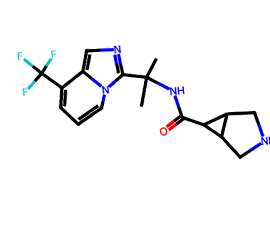 CC(C)(NC(=O)C1C2CNCC21)c1ncc2c(C(F)(F)F)cccn12